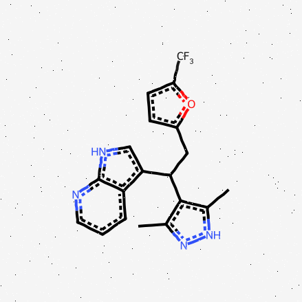 Cc1n[nH]c(C)c1C(Cc1ccc(C(F)(F)F)o1)c1c[nH]c2ncccc12